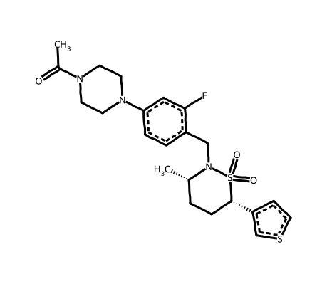 CC(=O)N1CCN(c2ccc(CN3[C@@H](C)CC[C@@H](c4ccsc4)S3(=O)=O)c(F)c2)CC1